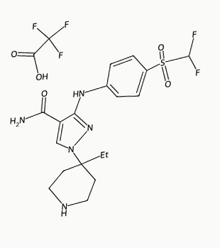 CCC1(n2cc(C(N)=O)c(Nc3ccc(S(=O)(=O)C(F)F)cc3)n2)CCNCC1.O=C(O)C(F)(F)F